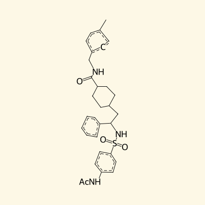 CC(=O)Nc1ccc(S(=O)(=O)NC(CC2CCC(C(=O)NCc3ccc(C)cc3)CC2)c2ccccc2)cc1